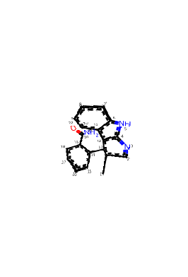 Cc1cnc2[nH]c3ccccc3c2c1-c1ccccc1C(N)=O